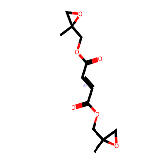 CC1(COC(=O)/C=C/C(=O)OCC2(C)CO2)CO1